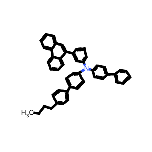 CCCCc1ccc(-c2ccc(N(c3ccc(-c4ccccc4)cc3)c3cccc(-c4cc5ccccc5c5ccccc45)c3)cc2)cc1